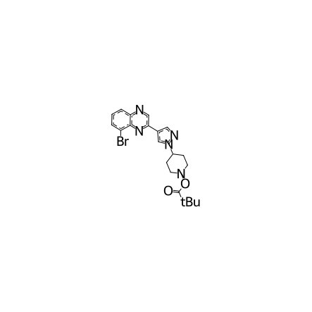 CC(C)(C)C(=O)ON1CCC(n2cc(-c3cnc4cccc(Br)c4n3)cn2)CC1